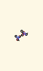 Cc1cccc(N(c2ccccc2)c2ccc(-c3ccc4c(c3)c3c(n4-c4cccc(C)c4)C=CC4C=CC=CC34C)cc2)c1